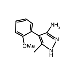 COc1ccccc1-c1c(N)n[nH]c1C